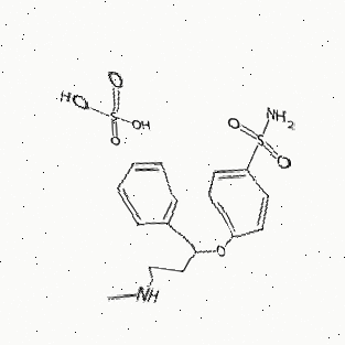 CNCCC(Oc1ccc(S(N)(=O)=O)cc1)c1ccccc1.O=S(=O)(O)O